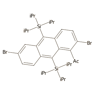 CC(=O)c1c(Br)ccc2c([Si](C(C)C)(C(C)C)C(C)C)c3cc(Br)ccc3c([Si](C(C)C)(C(C)C)C(C)C)c12